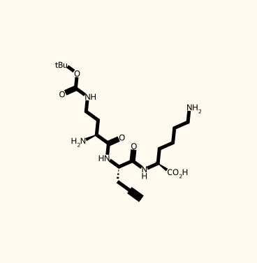 C#CC[C@H](NC(=O)[C@@H](N)CCNC(=O)OC(C)(C)C)C(=O)N[C@@H](CCCCN)C(=O)O